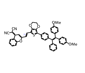 COc1ccc(C(=C(c2ccccc2)c2ccc(-c3sc(/C=C/C4=CC(=C(C#N)C#N)c5ccccc5O4)c4c3OCCO4)cc2)c2ccc(OC)cc2)cc1